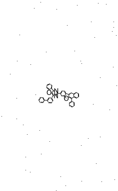 c1ccc(-c2cccc(-c3nc(-c4ccc5c(c4)oc4c(-c6ccccc6)c6ccccc6cc45)nc4c3oc3ccccc34)c2)cc1